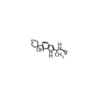 CC(NC1CC1)c1cc2ccc(C3(O)CCSCC3)cc2[nH]1